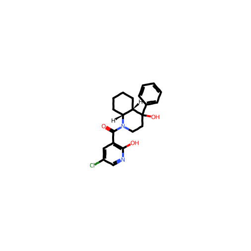 O=C(c1cc(Cl)cnc1O)N1CCC(O)(c2ccccc2)[C@H]2CCCC[C@H]21